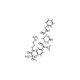 COCCCN1C(=O)C(C)(C)Oc2ccc(N(C(=O)[C@H]3CNC[C@@H](C(=O)NCc4ccccc4)C3)C3CC3)cc21